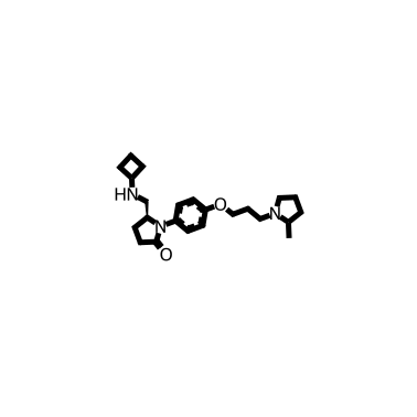 CC1CCCN1CCCOc1ccc(N2C(=O)CC[C@H]2CNC2CCC2)cc1